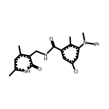 Cc1cc(C)c(CNC(=O)c2cc(Cl)cc(N(C)C(C)C)c2C)c(=O)[nH]1